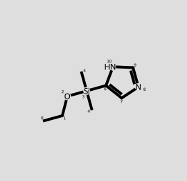 CCO[Si](C)(C)c1cnc[nH]1